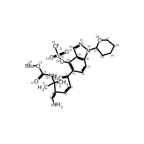 C=C(/C=C\C(=C/N)C(C)(C)NC(=O)OC(C)(C)C)c1ccc2c(cnn2C2CCCCO2)c1OS(=O)(=O)C(F)(F)F